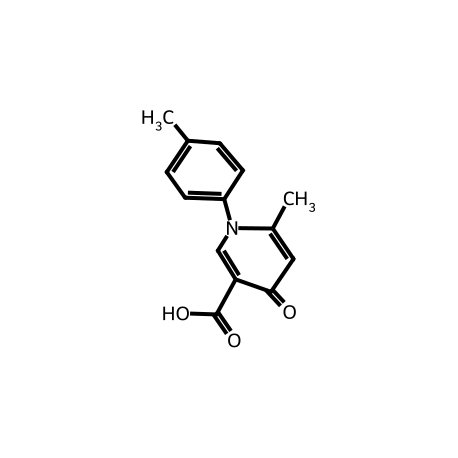 Cc1ccc(-n2cc(C(=O)O)c(=O)cc2C)cc1